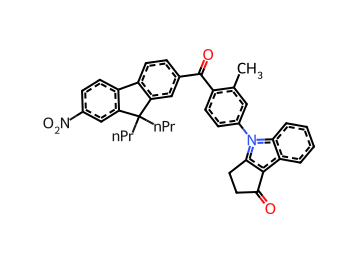 CCCC1(CCC)c2cc(C(=O)c3ccc(-n4c5c(c6ccccc64)C(=O)CC5)cc3C)ccc2-c2ccc([N+](=O)[O-])cc21